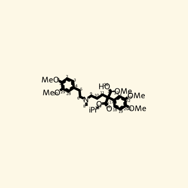 COc1ccc(CCN(C)CCCC(C(=O)OC(C)C)(c2ccc(OC)c(OC)c2)[C@@H](O)OC)cc1OC